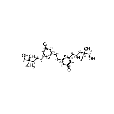 CC(C)(CO)CCCc1cc(=O)cc(CCc2cc(=O)cc(CCCC(C)(C)CO)s2)s1